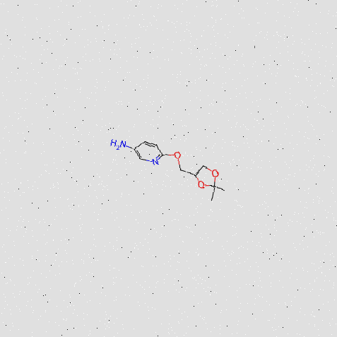 CC1(C)OCC(COc2ccc(N)cn2)O1